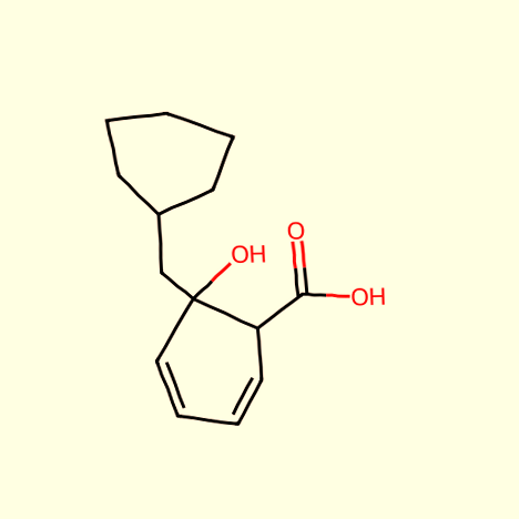 O=C(O)C1C=CC=CC1(O)CC1CCCCC1